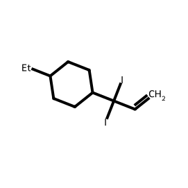 C=CC(I)(I)C1CCC(CC)CC1